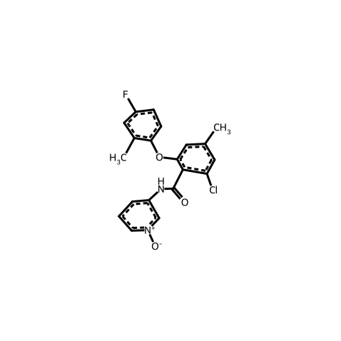 Cc1cc(Cl)c(C(=O)Nc2ccc[n+]([O-])c2)c(Oc2ccc(F)cc2C)c1